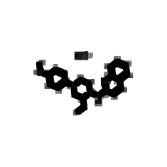 CCC1CN(c2ccc(OC)cc2)CCN1Nc1ccc2ccccc2n1.Cl